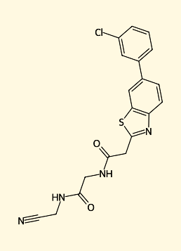 N#CCNC(=O)CNC(=O)Cc1nc2ccc(-c3cccc(Cl)c3)cc2s1